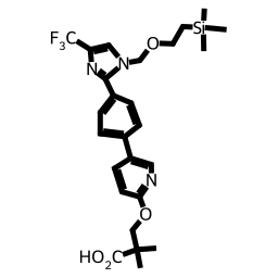 CC(C)(COc1ccc(-c2ccc(-c3nc(C(F)(F)F)cn3COCC[Si](C)(C)C)cc2)cn1)C(=O)O